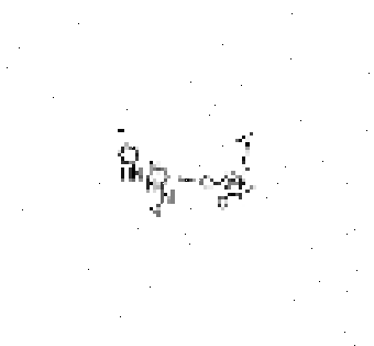 CC(C(=O)NC1CC(C#Cc2cnc(Nc3ccc(F)cc3)nc2NC2CC2)C1)N(C)C(=O)C=CCN(C)C